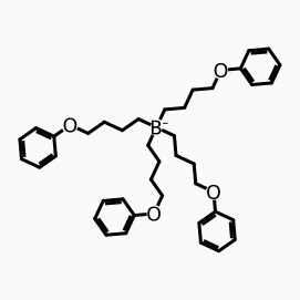 c1ccc(OCCCC[B-](CCCCOc2ccccc2)(CCCCOc2ccccc2)CCCCOc2ccccc2)cc1